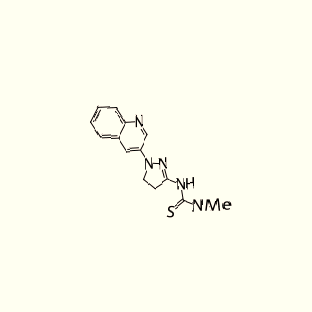 CNC(=S)NC1=NN(c2cnc3ccccc3c2)CC1